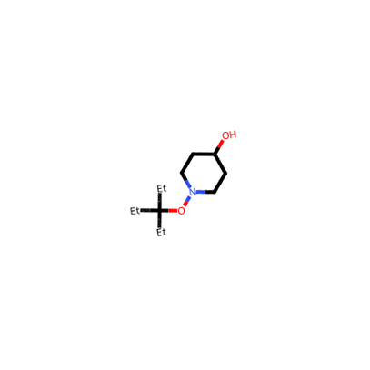 CCC(CC)(CC)ON1CCC(O)CC1